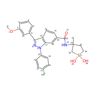 COc1cccc(-c2nn(-c3ccc(F)cc3)c3cc(C(=O)NC4(C)CCS(O)(O)C4)ccc23)c1